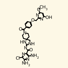 COc1cc(O)nc(COc2ccc(C(=O)N3CCC4(CC3)CN/C(=N\C(=O)c3nc(Cl)c(N)nc3N)N4)cc2)n1